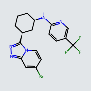 FC(F)(F)c1ccc(N[C@@H]2CCC[C@H](c3nnc4cc(Br)ccn34)C2)nc1